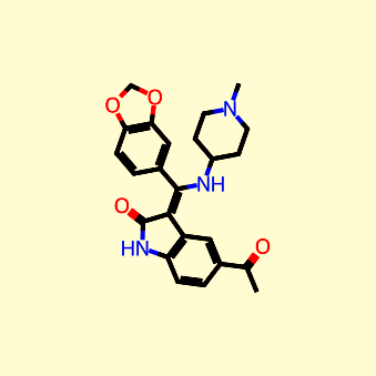 CC(=O)c1ccc2c(c1)C(=C(NC1CCN(C)CC1)c1ccc3c(c1)OCO3)C(=O)N2